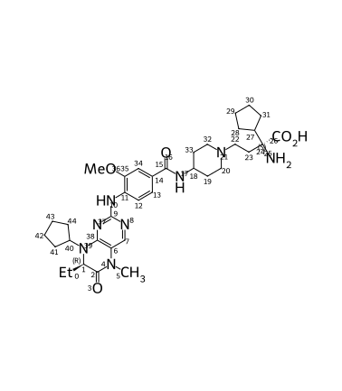 CC[C@@H]1C(=O)N(C)c2cnc(Nc3ccc(C(=O)NC4CCN(CC[C@@](N)(C(=O)O)C5CCCC5)CC4)cc3OC)nc2N1C1CCCC1